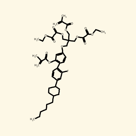 C=C(C)C(=O)OCC(COC(=O)C(=O)OCC)(COC(=O)C(=O)OCC)COc1ccc(-c2ccc(C3CCC(CCCCCC)CC3)cc2F)c(OC(=O)C(=C)C)c1